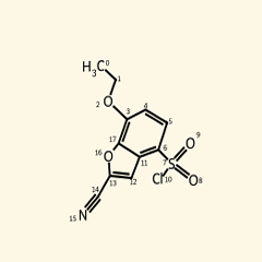 CCOc1ccc(S(=O)(=O)Cl)c2cc(C#N)oc12